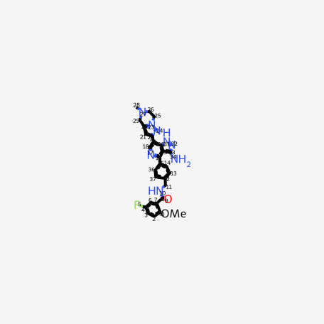 COc1ccc(F)cc1C(=O)NCc1ccc(-c2ncc(-c3cc4n(n3)CCN(C)C4)c3[nH]nc(N)c23)cc1